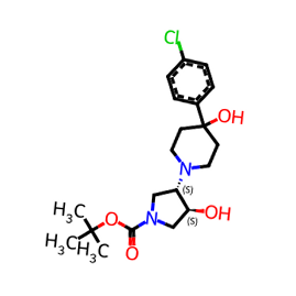 CC(C)(C)OC(=O)N1C[C@H](O)[C@@H](N2CCC(O)(c3ccc(Cl)cc3)CC2)C1